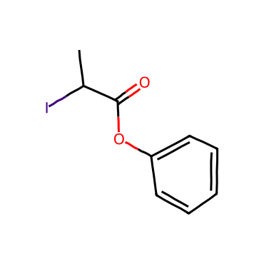 CC(I)C(=O)Oc1ccccc1